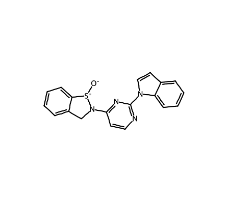 [O-][S+]1c2ccccc2CN1c1ccnc(-n2ccc3ccccc32)n1